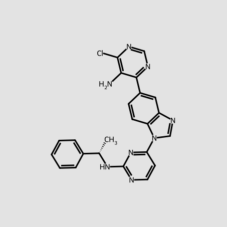 C[C@H](Nc1nccc(-n2cnc3cc(-c4ncnc(Cl)c4N)ccc32)n1)c1ccccc1